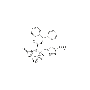 C[C@]1(Cn2cc(C(=O)O)nn2)[C@H](C(=O)OC(c2ccccc2)c2ccccc2)N2C(=O)C[C@H]2S1(=O)=O